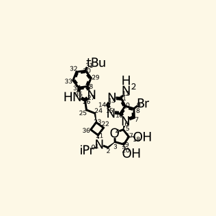 CC(C)N(C[C@H]1O[C@@H](n2cc(Br)c3c(N)ncnc32)[C@H](O)[C@@H]1O)[C@H]1C[C@H](CCc2nc3cc(C(C)(C)C)ccc3[nH]2)C1